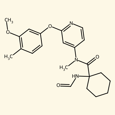 COc1cc(Oc2cc(N(C)C(=O)C3(NC=O)CCCCC3)ccn2)ccc1C